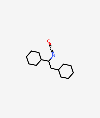 O=C=NC(CC1CCCCC1)C1CCCCC1